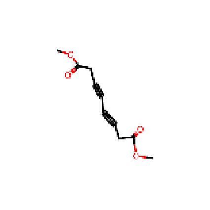 COC(=O)CC#CC#CCC(=O)OC